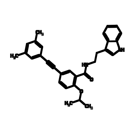 Cc1cc(C)cc(C#Cc2ccc(OC(C)C)c(C(=O)NCCc3c[nH]c4ccccc34)c2)c1